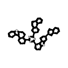 c1ccc2cc(-c3ccc4c(c3)oc3cccc(-c5nc(-c6ccc7c(ccc8ccccc87)c6)nc(-c6cccc7c6ccc6oc8ccccc8c67)n5)c34)ccc2c1